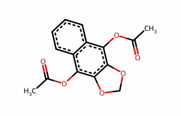 CC(=O)Oc1c2c(c(OC(C)=O)c3ccccc13)OCO2